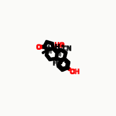 C[C@]12CC[C@@H]3c4ccc(O)cc4CC[C@H]3[C@@H]1CCC2=O.N#CO